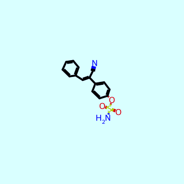 N#C/C(=C\c1ccccc1)c1ccc(OS(N)(=O)=O)cc1